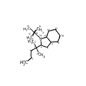 CCCC(C)(C)C1CC2CCCCC2N1C(C)(C)C